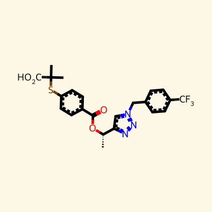 C[C@H](OC(=O)c1ccc(SC(C)(C)C(=O)O)cc1)c1cn(Cc2ccc(C(F)(F)F)cc2)nn1